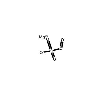 O=[C-]S(=O)(=O)[O-].[Mg+2]